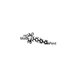 C=C(CO)C(=O)OCC(COC(=O)C(=C)COC)C1CCC(c2ccc(-c3ccc(CCCCC)cc3)cc2)CC1